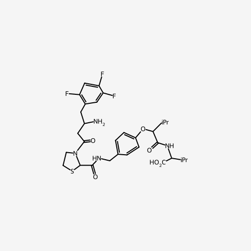 CC(C)C(NC(=O)C(Oc1ccc(CNC(=O)C2SCCN2C(=O)CC(N)Cc2cc(F)c(F)cc2F)cc1)C(C)C)C(=O)O